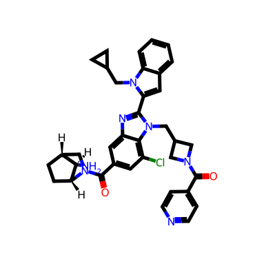 N[C@@H]1[C@@H]2CC[C@H]1N(C(=O)c1cc(Cl)c3c(c1)nc(-c1cc4ccccc4n1CC1CC1)n3CC1CN(C(=O)c3ccncc3)C1)C2